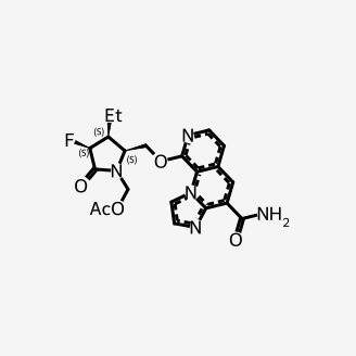 CC[C@@H]1[C@H](F)C(=O)N(COC(C)=O)[C@@H]1COc1nccc2cc(C(N)=O)c3nccn3c12